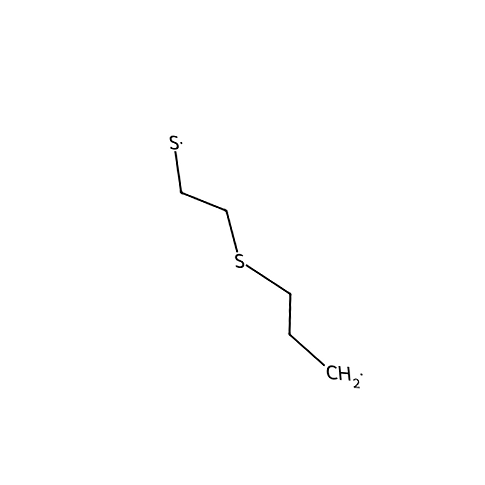 [CH2]CCSCC[S]